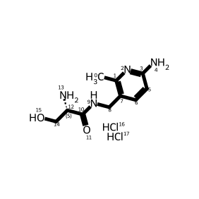 Cc1nc(N)ccc1CNC(=O)[C@@H](N)CO.Cl.Cl